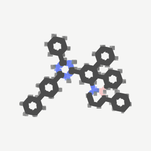 C1=CN2B(C(c3ccccc3)=C1)c1ccccc1-c1c(-c3ccccc3)cc(-c3nc(-c4ccccc4)nc(-c4ccc(-c5ccccc5)cc4)n3)cc12